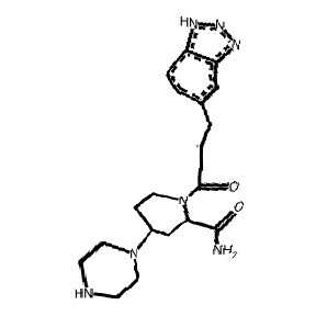 NC(=O)C1CC(N2CCNCC2)CCN1C(=O)[CH]Cc1ccc2[nH]nnc2c1